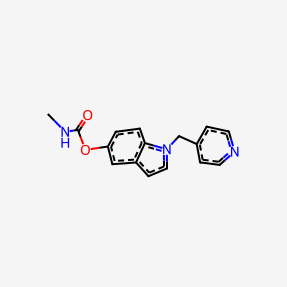 CNC(=O)Oc1ccc2c(ccn2Cc2ccncc2)c1